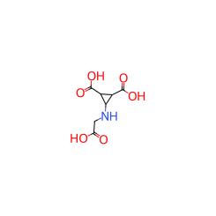 O=C(O)CNC1C(C(=O)O)C1C(=O)O